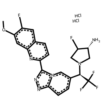 COc1cc2nc(-c3nnc4ccc([C@@H](N5CC(F)[C@H](N)C5)C(F)(F)F)cn34)ccc2cc1F.Cl.Cl